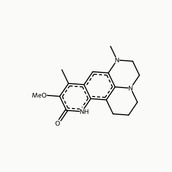 COc1c(C)c2cc3c4c(c2[nH]c1=O)CCCN4CCN3C